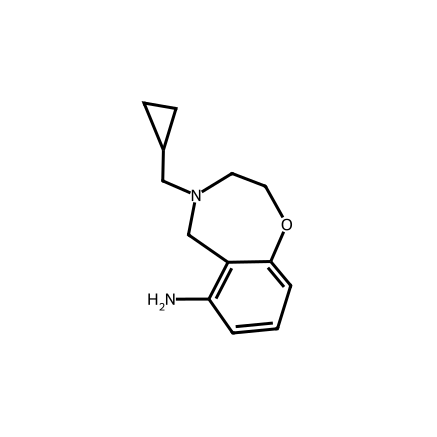 Nc1cccc2c1CN(CC1CC1)CCO2